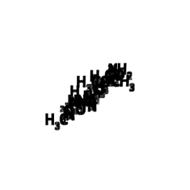 Cc1ccc(NC(=O)Nc2cncc(-c3ccc(OCC(C)(C)C(N)=O)c(C)c3)n2)cn1